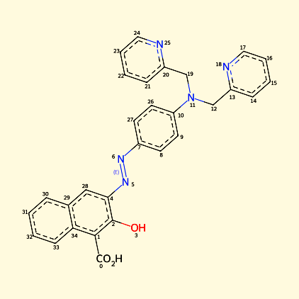 O=C(O)c1c(O)c(/N=N/c2ccc(N(Cc3ccccn3)Cc3ccccn3)cc2)cc2ccccc12